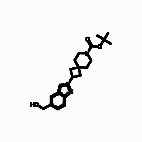 CC(C)(C)OC(=O)N1CCC2(CC1)CC(n1cc3cc(CO)ccc3n1)C2